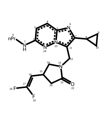 CCCNc1ccc2nc(C3CC3)c(CN3CC(C=C(F)F)CC3=O)n2n1